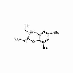 CCCCOP(OCC(C)CC)Oc1c(C(C)(C)C)cc(C(C)(C)C)cc1C(C)(C)C